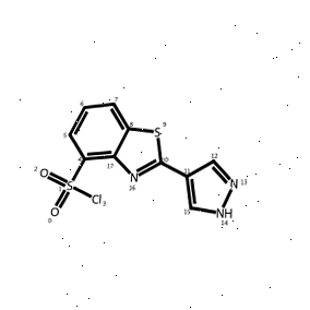 O=S(=O)(Cl)c1cccc2sc(-c3cn[nH]c3)nc12